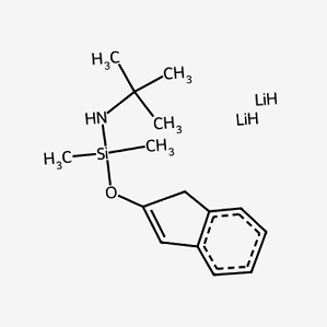 CC(C)(C)N[Si](C)(C)OC1=Cc2ccccc2C1.[LiH].[LiH]